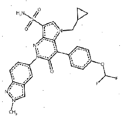 Cn1cc2cc(-n3nc4c(S(N)(=O)=O)cn(CC5CC5)c4c(-c4ccc(OC(F)F)cc4)c3=O)ccc2n1